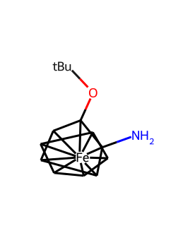 CC(C)(C)O[C]12[CH]3[CH]4[CH]5[C]1(N)[Fe]45321678[CH]2[CH]1[CH]6[CH]7[CH]28